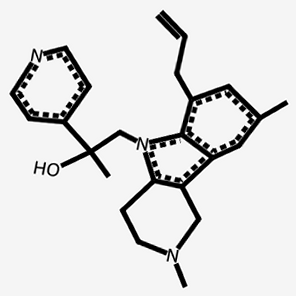 C=CCc1cc(C)cc2c3c(n(CC(C)(O)c4ccncc4)c12)CCN(C)C3